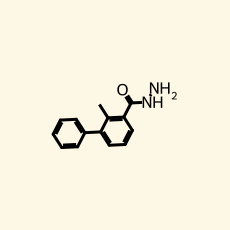 Cc1c(C(=O)NN)cccc1-c1ccccc1